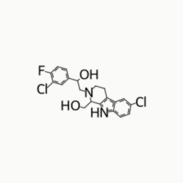 OCC1c2[nH]c3ccc(Cl)cc3c2CCN1CC(O)c1ccc(F)c(Cl)c1